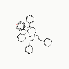 C(=CC1(C=Cc2ccccc2)CC[Si](c2ccccc2)(c2ccccc2)[Si](c2ccccc2)(c2ccccc2)O1)c1ccccc1